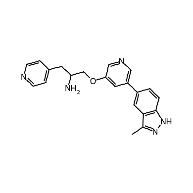 Cc1n[nH]c2ccc(-c3cncc(OCC(N)Cc4ccncc4)c3)cc12